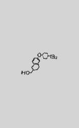 CC(C)(C)C1CCC(Oc2ccc3c(c2)CCC(CO)C3)CC1